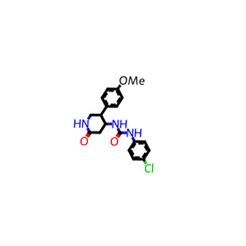 COc1ccc(C2CNC(=O)CC2NC(=O)Nc2ccc(Cl)cc2)cc1